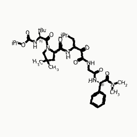 CC(C)CC(NC(=O)C1CC(C)(C)CN1C(=O)[C@@H](NC(=O)OC(C)C)C(C)(C)C)C(=O)C(=O)NCC(=O)N[C@H](C(=O)N(C)C)c1ccccc1